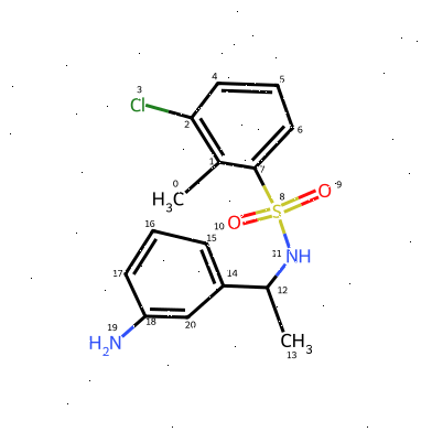 Cc1c(Cl)cccc1S(=O)(=O)NC(C)c1cccc(N)c1